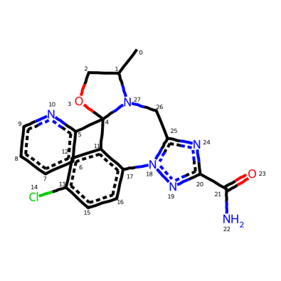 CC1COC2(c3ccccn3)c3cc(Cl)ccc3-n3nc(C(N)=O)nc3CN12